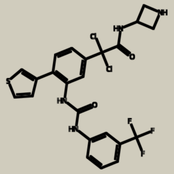 O=C(Nc1cccc(C(F)(F)F)c1)Nc1cc(C(Cl)(Cl)C(=O)NC2CNC2)ccc1-c1ccsc1